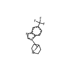 FC(F)(F)c1ccc2c(c1)ncn2C1CN2CCC1CC2